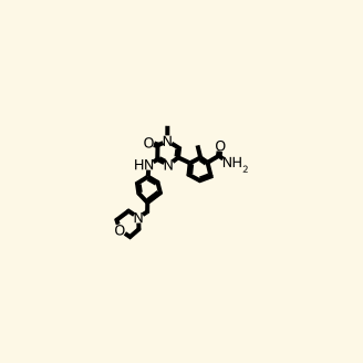 Cc1c(C(N)=O)cccc1-c1cn(C)c(=O)c(Nc2ccc(CN3CCOCC3)cc2)n1